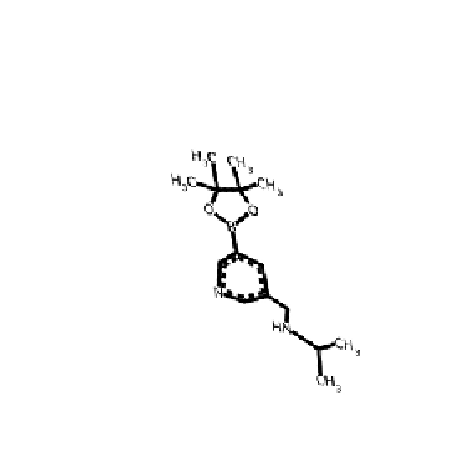 CC(C)NCc1cncc(B2OC(C)(C)C(C)(C)O2)c1